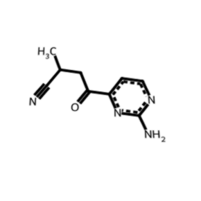 CC(C#N)CC(=O)c1ccnc(N)n1